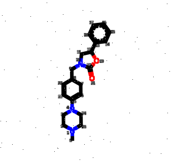 CN1CCN(C2=CCC(CN3CC(c4ccccc4)OC3=O)C=C2)CC1